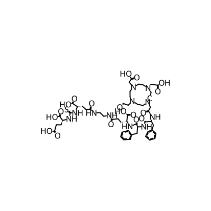 O=CCN1CCN(CC(=O)O)CCN(CC(=O)O)CCN(CC(=O)NC(Cc2ccccc2)C(=O)NC(Cc2ccccc2)C(=O)N[C@H](CCC(=O)NCCNC(=O)CC[C@H](NC(=S)N[C@@H](CCC(=O)O)C(=O)O)C(=O)O)C(=O)O)CC1